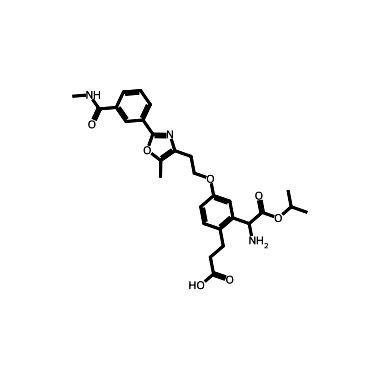 CNC(=O)c1cccc(-c2nc(CCOc3ccc(CCC(=O)O)c(C(N)C(=O)OC(C)C)c3)c(C)o2)c1